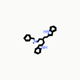 CN(CCC(CCc1cc2ccccc2[nH]1)Cc1cc2ccccc2[nH]1)Cc1ccccc1